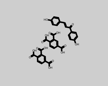 O=C(C=Cc1ccc(O)cc1)c1ccc(O)cc1.O=C(O)c1ccc(C(=O)O)c(C(=O)O)c1.O=C(O)c1ccc(C(=O)O)c(C(=O)O)c1